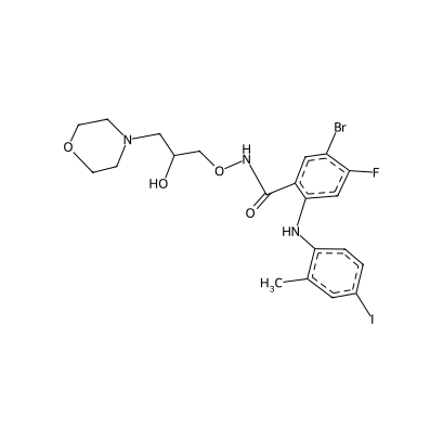 Cc1cc(I)ccc1Nc1cc(F)c(Br)cc1C(=O)NOCC(O)CN1CCOCC1